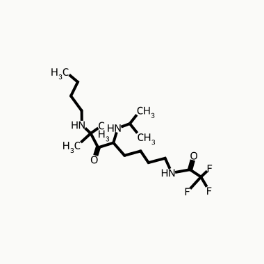 CCCCNC(C)(C)C(=O)C(CCCCNC(=O)C(F)(F)F)NC(C)C